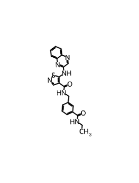 CCNC(=O)c1cccc(CNC(=O)c2cnsc2Nc2cnc3ccccc3n2)c1